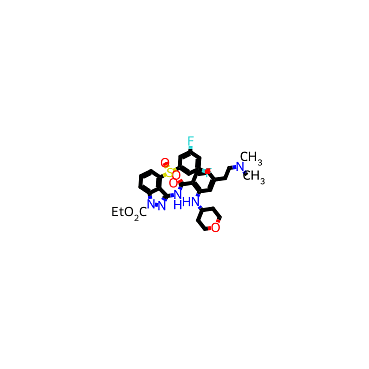 CCOC(=O)n1nc(NC(=O)c2ccc(CCN(C)C)cc2NC2CCOCC2)c2c(S(=O)(=O)c3cc(F)cc(F)c3)cccc21